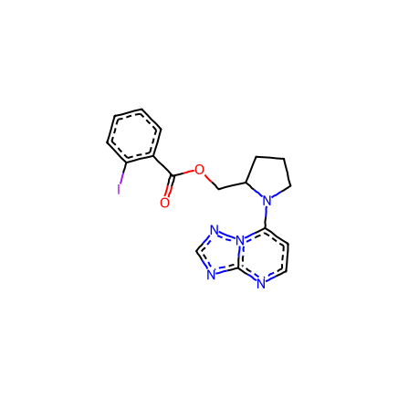 O=C(OCC1CCCN1c1ccnc2ncnn12)c1ccccc1I